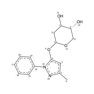 Cc1cc(OC2CC(O)[C@H](O)CO2)n(-c2ccccc2)n1